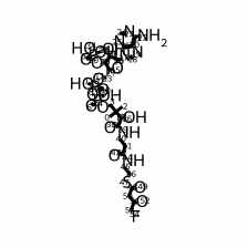 CC(C)(COP(=O)(O)OP(=O)(O)OC[C@H]1O[C@@H](n2cnc3c(N)ncnc32)[C@H](O)[C@@H]1OP(=O)(O)O)[C@@H](O)C(=O)NCCC(=O)NCCSC(=O)CC(=O)CF